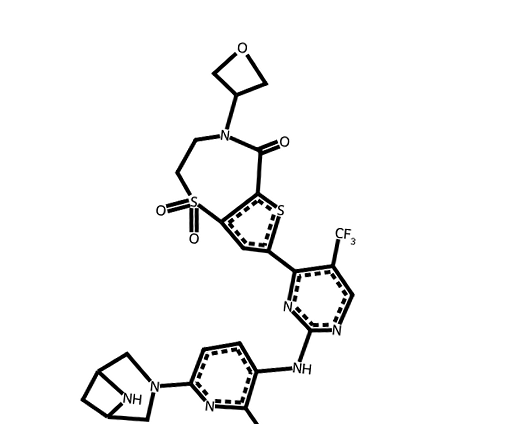 O=C1c2sc(-c3nc(Nc4ccc(N5CC6CC(C5)N6)nc4Cl)ncc3C(F)(F)F)cc2S(=O)(=O)CCN1C1COC1